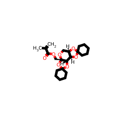 C=C(C)C(=O)OC[C@@]12OC[C@H]3OC4(CCCCC4)O[C@H]3[C@@H]1OC1(CCCCC1)O2